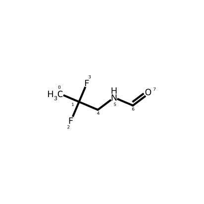 CC(F)(F)CNC=O